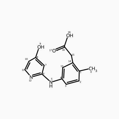 Cc1ccc(Nc2cc(O)ccn2)cc1CC(=O)O